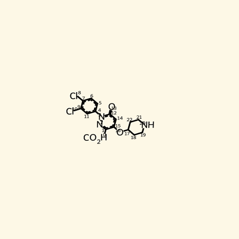 O=C(O)c1nn(-c2ccc(Cl)c(Cl)c2)c(=O)cc1OC1CCNCC1